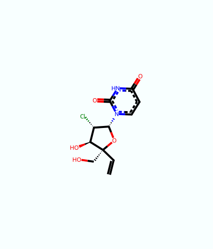 C=C[C@]1(CO)O[C@@H](n2ccc(=O)[nH]c2=O)[C@@H](Cl)[C@@H]1O